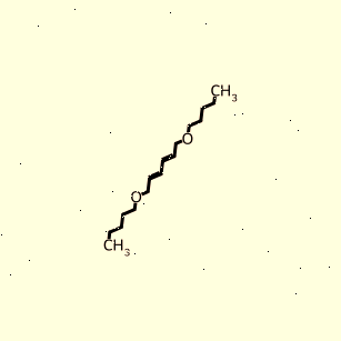 CCCCCOCC=CC=CCOCCCCC